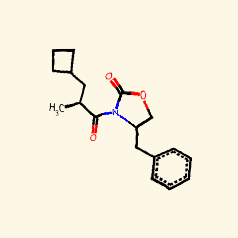 CC(CC1CCC1)C(=O)N1C(=O)OCC1Cc1ccccc1